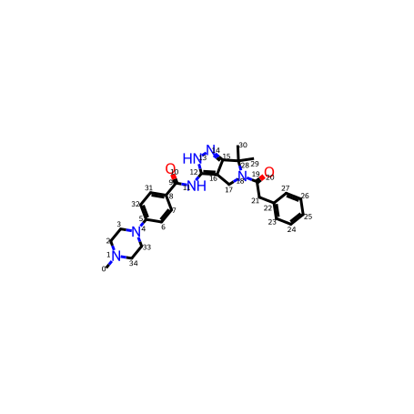 CN1CCN(c2ccc(C(=O)Nc3[nH]nc4c3CN(C(=O)Cc3ccccc3)C4(C)C)cc2)CC1